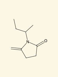 C=C1CCC(=O)N1C(C)CC